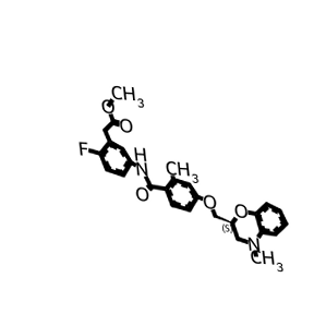 COC(=O)Cc1cc(NC(=O)c2ccc(OC[C@@H]3CN(C)c4ccccc4O3)cc2C)ccc1F